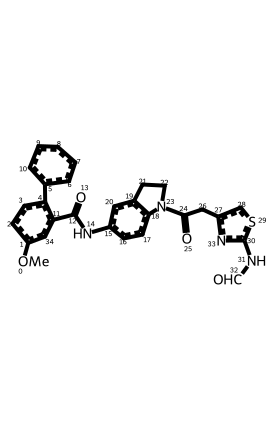 COc1ccc(-c2ccccc2)c(C(=O)Nc2ccc3c(c2)CCN3C(=O)Cc2csc(NC=O)n2)c1